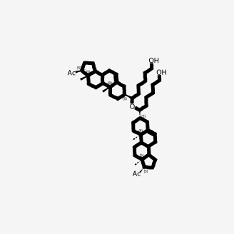 CC(=O)[C@H]1CCC2C3CC=C4C[C@@H](C(CCCCCO)OC(CCCCCO)[C@H]5CC[C@@]6(C)C(=CCC7C6CC[C@@]6(C)C7CC[C@@H]6C(C)=O)C5)CC[C@]4(C)C3CC[C@@]21C